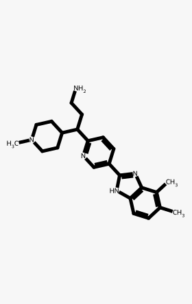 Cc1ccc2[nH]c(-c3ccc(C(CCN)C4CCN(C)CC4)nc3)nc2c1C